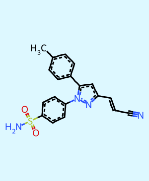 Cc1ccc(-c2cc(/C=C/C#N)nn2-c2ccc(S(N)(=O)=O)cc2)cc1